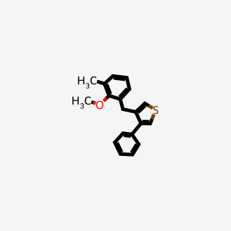 COc1c(C)cccc1Cc1cscc1-c1ccccc1